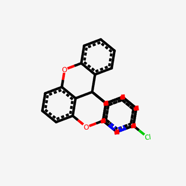 Clc1ccc(C23c4ccccc4Oc4cccc(c42)Oc2ncccc23)cc1